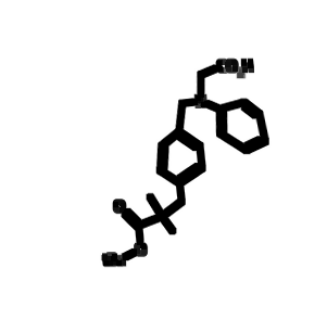 CC(C)(C)OC(=O)C(C)(C)Cc1ccc(CN(CC(=O)O)c2ccccc2)cc1